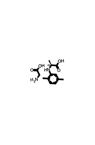 Cc1ccc(C)c(N[C@@H](C)C(=O)O)c1.NCC(=O)O